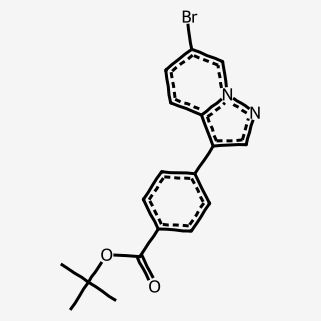 CC(C)(C)OC(=O)c1ccc(-c2cnn3cc(Br)ccc23)cc1